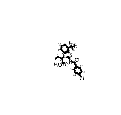 CCC(C(=O)O)n1/c(=N/C(=O)c2ccc(Cl)cc2)sc2c(C(F)(F)F)cccc21